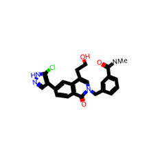 CNC(=O)c1cccc(Cn2cc(CCO)c3cc(-c4cn[nH]c4Cl)ccc3c2=O)c1